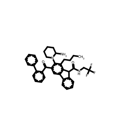 CCCCc1c2c(cc(C(=O)c3ccccc3-c3ccccc3)c1N1CCCCC1N)-c1ccccc1C2C(=O)NCC(F)(F)F